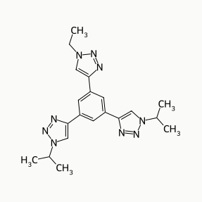 CCn1cc(-c2cc(-c3cn(C(C)C)nn3)cc(-c3cn(C(C)C)nn3)c2)nn1